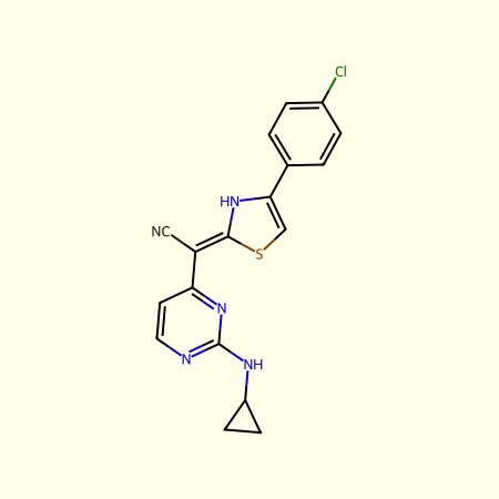 N#CC(=C1NC(c2ccc(Cl)cc2)=CS1)c1ccnc(NC2CC2)n1